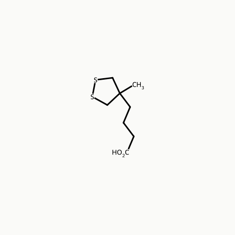 CC1(CCCC(=O)O)CSSC1